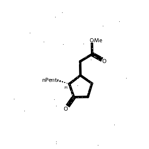 CCCCC[C@H]1C(=O)CCC1CC(=O)OC